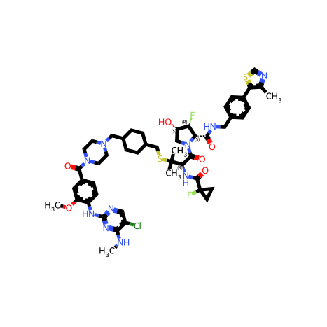 CNc1nc(Nc2ccc(C(=O)N3CCN(CC4CCC(CSC(C)(C)[C@H](NC(=O)C5(F)CC5)C(=O)N5C[C@H](O)[C@H](F)[C@@H]5C(=O)NCc5ccc(-c6scnc6C)cc5)CC4)CC3)cc2OC)ncc1Cl